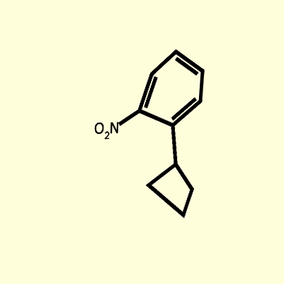 O=[N+]([O-])c1ccccc1C1CCC1